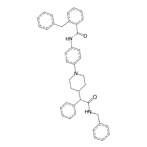 O=C(Nc1ccc(N2CCC(C(C(=O)NCc3ccccc3)c3ccccc3)CC2)cc1)c1ccccc1Cc1ccccc1